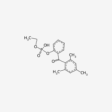 CCOP(=O)(O)Oc1ccccc1C(=O)c1c(C)cc(C)cc1C